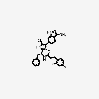 Nc1n[nH]c2cc(-c3nc([C@H](Cc4ccccc4)NC(=O)CCc4ccc(F)cc4F)[nH]c3Cl)ccc12